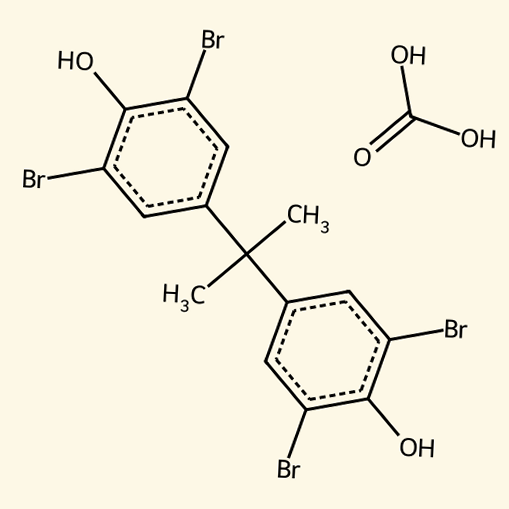 CC(C)(c1cc(Br)c(O)c(Br)c1)c1cc(Br)c(O)c(Br)c1.O=C(O)O